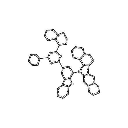 c1ccc(-c2nc(-c3cc(-n4c5cc6ccccc6cc5c5ccc6ccccc6c54)c4oc5ccccc5c4c3)nc(-c3cccc4ccccc34)n2)cc1